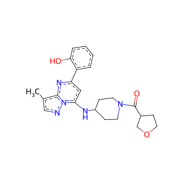 Cc1cnn2c(NC3CCN(C(=O)C4CCOC4)CC3)cc(-c3ccccc3O)nc12